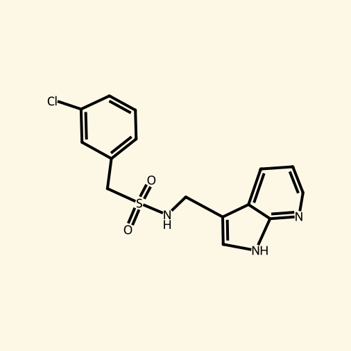 O=S(=O)(Cc1cccc(Cl)c1)NCc1c[nH]c2ncccc12